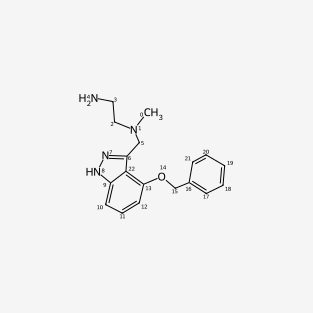 CN(CCN)Cc1n[nH]c2cccc(OCc3ccccc3)c12